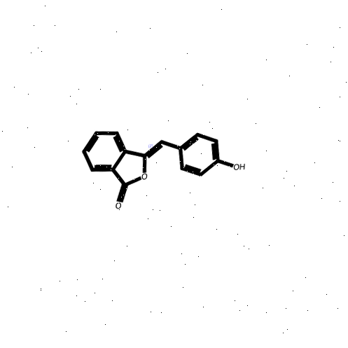 O=C1O/C(=C\c2ccc(O)cc2)c2ccccc21